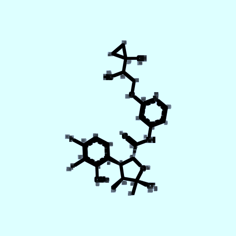 COc1c([C@H]2[C@H](C(=O)Nc3ccnc(OCC(O)C4(O)CC4)c3)O[C@@](C)(C(F)(F)F)[C@H]2C)ccc(F)c1F